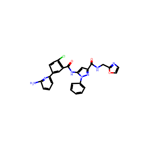 Nc1cccc(-c2ccc(Cl)c(C(=O)Nc3cc(C(=O)NCc4ncco4)nn3-c3ccccc3)c2)n1